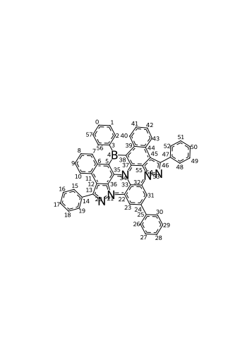 c1ccc(B2c3c4ccccc4c4c(-c5ccccc5)nn5c6cc(-c7ccccc7)cc7c6-n(c3c45)c3c2c2ccccc2c2c(-c4ccccc4)nn7c23)cc1